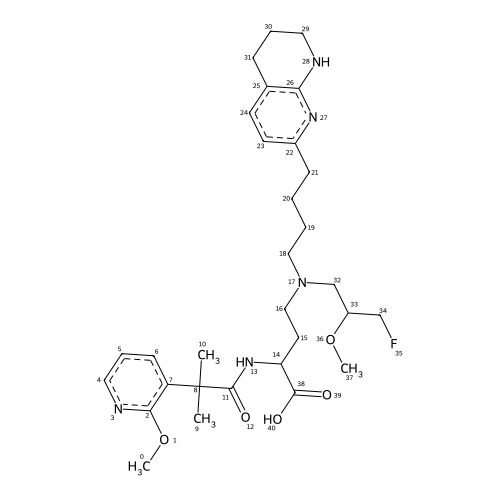 COc1ncccc1C(C)(C)C(=O)NC(CCN(CCCCc1ccc2c(n1)NCCC2)CC(CF)OC)C(=O)O